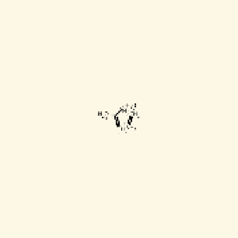 C=C.C=CC.O.O